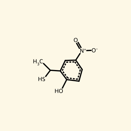 CC(S)c1cc([N+](=O)[O-])ccc1O